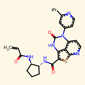 C=CC(=O)N[C@@H]1CCC[C@H]1NC(=O)c1sc2nccc3c2c1NC(=O)N3c1ccnc(C(C)C)c1